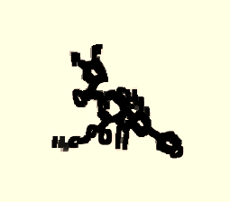 CCOC(=O)C1=CN(C(=O)c2ccc(F)c(F)c2)CC(C)(C)c2c1[nH]c1cc(-c3ccoc3)ccc21